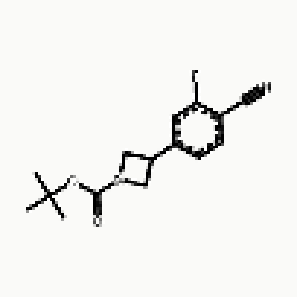 CC(C)(C)OC(=O)N1CC(c2ccc(C#N)c(F)c2)C1